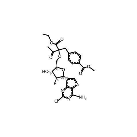 CCOC(=O)C(Cc1ccc(C(=O)OC)cc1)(OC[C@H]1O[C@@H](n2cnc3c(N)nc(Cl)nc32)[C@@H](F)[C@@H]1O)C(C)=O